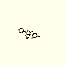 CC1=NN(c2ccccc2)C(=O)C1(N=[N])c1ccc(C)cc1C